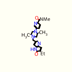 CCc1cc2ncc(CN3C[C@H](C)N(c4ccc(C(=O)NC)nc4)C[C@H]3C)cc2[nH]c1=O